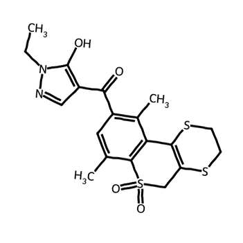 CCn1ncc(C(=O)c2cc(C)c3c(c2C)C2=C(CS3(=O)=O)SCCS2)c1O